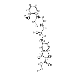 CCOC(=O)C1Oc2ccc(OCC(O)CN3CCN(c4ccccc4OC)CC3)cc2C1=O